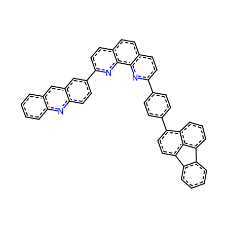 c1ccc2c(c1)-c1cccc3c(-c4ccc(-c5ccc6ccc7ccc(-c8ccc9nc%10ccccc%10cc9c8)nc7c6n5)cc4)ccc-2c13